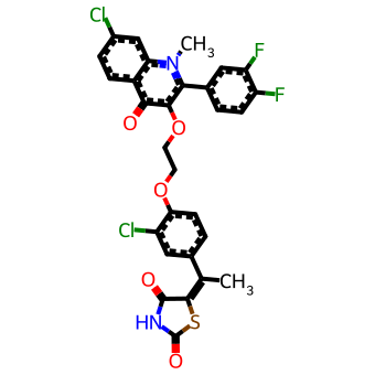 C/C(=C1\SC(=O)NC1=O)c1ccc(OCCOc2c(-c3ccc(F)c(F)c3)n(C)c3cc(Cl)ccc3c2=O)c(Cl)c1